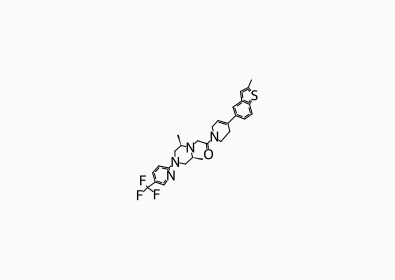 Cc1cc2cc(C3=CCN(C(=O)CN4[C@H](C)CN(c5ccc(C(F)(F)F)cn5)C[C@@H]4C)CC3)ccc2s1